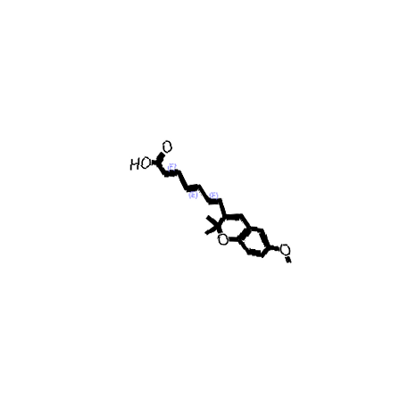 COc1ccc2c(c1)C=C(/C=C/C=C/C=C/C(=O)O)C(C)(C)O2